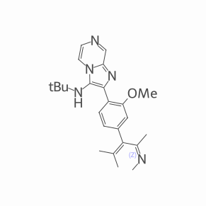 C/N=C(/C)C(=C(C)C)c1ccc(-c2nc3cnccn3c2NC(C)(C)C)c(OC)c1